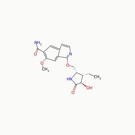 CC[C@H]1[C@@H](COc2nccc3cc(C(N)=O)c(OC)cc23)NC(=O)[C@@H]1O